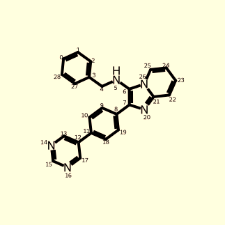 c1ccc(CNc2c(-c3ccc(-c4cncnc4)cc3)nc3ccccn23)cc1